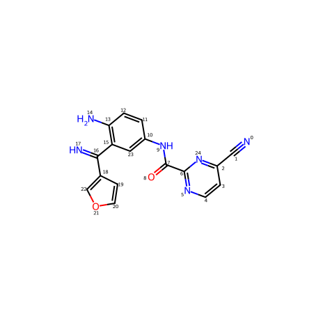 N#Cc1ccnc(C(=O)Nc2ccc(N)c(C(=N)c3ccoc3)c2)n1